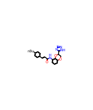 CCCCc1ccc(C=CC(=O)Nc2cccc3c2OC(c2nnn[nH]2)CO3)cc1